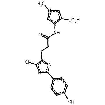 Cn1cc(NC(=O)CCc2sc(-c3ccc(O)cc3)nc2Cl)c(C(=O)O)c1